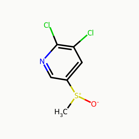 C[S+]([O-])c1cnc(Cl)c(Cl)c1